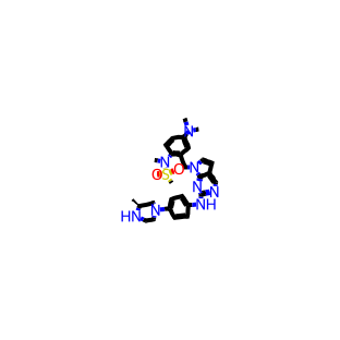 C[C@H]1CN(c2ccc(Nc3ncc4ccn(Cc5cc(N(C)C)ccc5N(C)S(C)(=O)=O)c4n3)cc2)CCN1